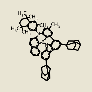 Cc1cc2c3c(c1)N(c1cc4c(cc1C)C(C)(C)CCC4(C)C)c1ccc4ccccc4c1B3n1c3ccc(C45CC6CC(CC(C6)C4)C5)cc3c3cc(C45CC6CC(CC(C6)C4)C5)cc-2c31